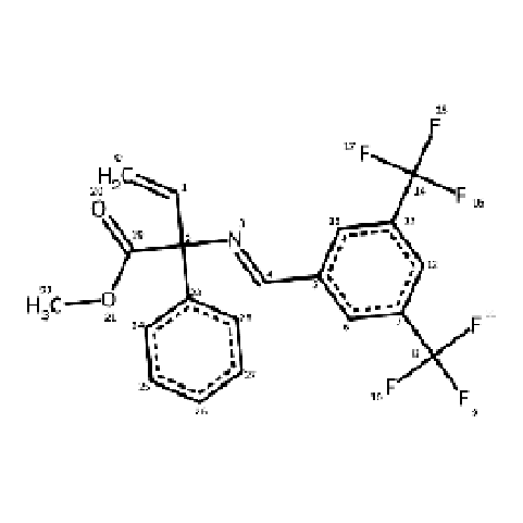 C=CC(N=Cc1cc(C(F)(F)F)cc(C(F)(F)F)c1)(C(=O)OC)c1ccccc1